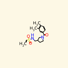 C=CS(=O)(=O)NCC1CCN(C(=O)c2ccc(C)c(C)c2)C1